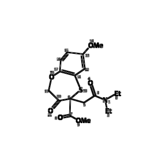 CCN(CC)C(=O)CC1(C(=O)OC)Sc2cc(OC)ccc2OCC1=O